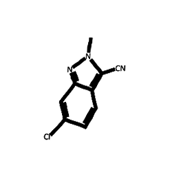 Cn1nc2cc(Cl)ccc2c1C#N